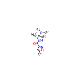 CCCN(CC)C(C)(CCC)CNC(=O)c1cc(CC)on1